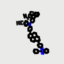 CC1(C)c2ccccc2-c2ccc(N(c3ccc(C#N)cc3)c3ccc(-c4ccc5ccc6c(-c7ccc(-n8c(-c9ccccc9)nc9ccccc98)cc7)ccc7ccc4c5c76)cc3)cc21